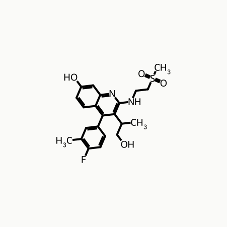 Cc1cc(-c2c(C(C)CO)c(NCCS(C)(=O)=O)nc3cc(O)ccc23)ccc1F